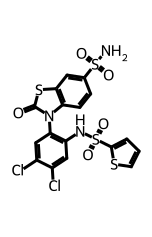 NS(=O)(=O)c1ccc2c(c1)sc(=O)n2-c1cc(Cl)c(Cl)cc1NS(=O)(=O)c1cccs1